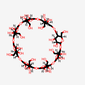 OC[C@H]1CC2O[C@H]3[C@H](O)[C@@H](O)C(O[C@H]4[C@H](O)[C@@H](O)C(O[C@H]5[C@H](O)[C@@H](O)C(O[C@H]6[C@H](O)[C@@H](O)C(O[C@H]7[C@H](O)[C@@H](O)C(O[C@H]8[C@H](O)[C@@H](O)C(O[C@H]9[C@H](O)[C@@H](O)C(O[C@H]1[C@H](O)[C@H]2O)O[C@@H]9CO)O[C@@H]8CO)O[C@@H]7CO)O[C@@H]6CO)O[C@@H]5CO)O[C@@H]4CO)O[C@@H]3CO